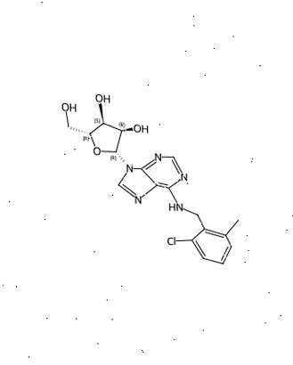 Cc1cccc(Cl)c1CNc1ncnc2c1ncn2[C@@H]1O[C@H](CO)[C@@H](O)[C@H]1O